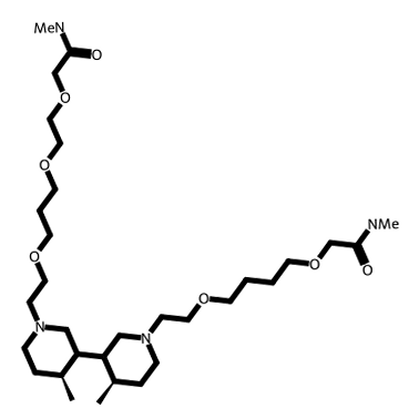 CNC(=O)COCCCCOCCN1CC[C@@H](C)C(C2CN(CCOCCCOCCOCC(=O)NC)CC[C@@H]2C)C1